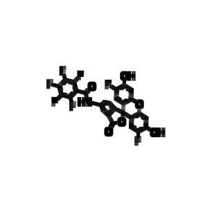 O=C1OC2(c3cc(F)c(O)cc3Oc3cc(O)c(F)cc32)c2ccc(NC(=O)c3c(F)c(F)c(F)c(F)c3F)cc21